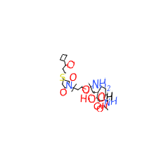 CC(=O)N[C@H]1[C@@H](O)[C@@H](O)[C@]2(CC(C)(N)OCCC(C)(C)N3C(=O)CC(SCCC(=O)C4CCC4)C3=O)CC[C@H]1O2